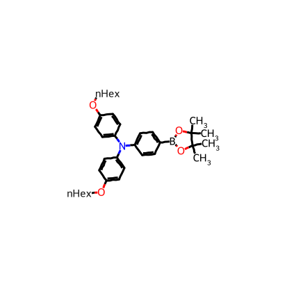 CCCCCCOc1ccc(N(c2ccc(OCCCCCC)cc2)c2ccc(B3OC(C)(C)C(C)(C)O3)cc2)cc1